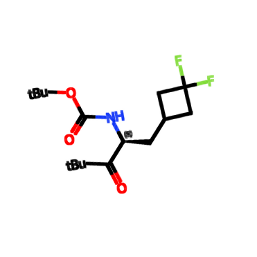 CC(C)(C)OC(=O)N[C@@H](CC1CC(F)(F)C1)C(=O)C(C)(C)C